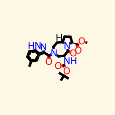 COC(=O)[C@@H]1CC[C@@H]2CCN(C(=O)c3n[nH]c4ccc(C)cc34)C[C@H](NC(=O)OC(C)(C)C)C(=O)N21